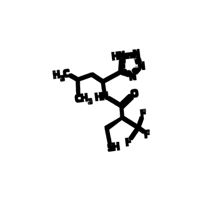 CC(C)CC(NC(=O)[C@H](CS)C(F)(F)F)c1nnn[nH]1